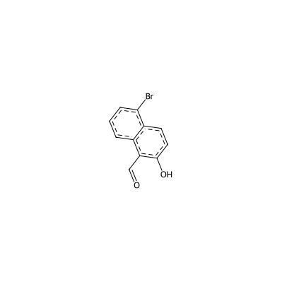 O=Cc1c(O)ccc2c(Br)cccc12